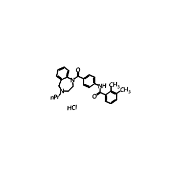 CCCN1CCN(C(=O)c2ccc(NC(=O)c3cccc(C)c3C)cc2)c2ccccc2C1.Cl